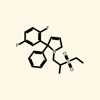 CCS(=O)(=O)C(C)CN1CC=CC1(c1ccccc1)c1cc(F)ccc1F